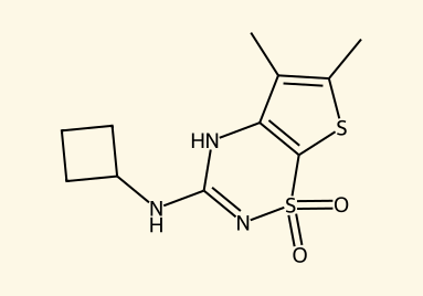 Cc1sc2c(c1C)NC(NC1CCC1)=NS2(=O)=O